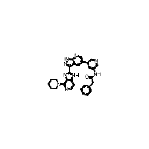 O=C(Cc1ccccc1)Nc1cncc(-c2cnc3[nH]nc(-c4nc5c(N6CCCCC6)nccc5[nH]4)c3c2)c1